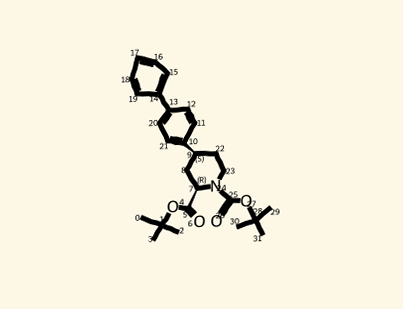 CC(C)(C)OC(=O)[C@H]1C[C@@H](c2ccc(-c3ccccc3)cc2)CCN1C(=O)OC(C)(C)C